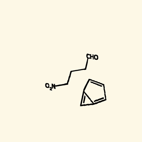 O=CCCC[N+](=O)[O-].c1cc2cc-2c1